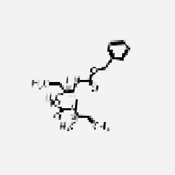 C=C[C@H](C)[C@@H](CN(C(=O)O)[C@@H](C)C=C)NC(=O)OCc1ccccc1